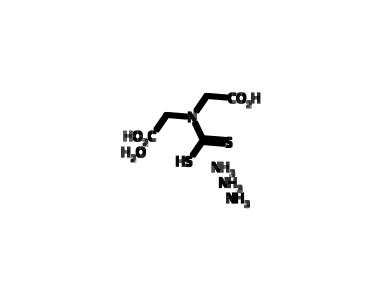 N.N.N.O.O=C(O)CN(CC(=O)O)C(=S)S